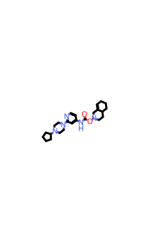 O=C(Nc1ccnc(N2CCN(C3CCCC3)CC2)c1)ON1CCC2CCCC=C2C1